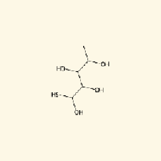 CC(O)C(O)C(O)C(O)S